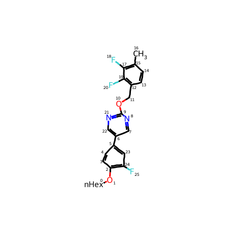 CCCCCCOc1ccc(-c2cnc(OCc3ccc(C)c(F)c3F)nc2)cc1F